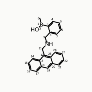 CB(O)c1ccccc1CNCc1c2ccccc2cc2ccccc12